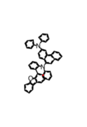 c1ccc(N(c2ccccc2)c2ccc3c(N(c4ccccc4)c4ccccc4-c4cccc5c4oc4ccccc45)cc4ccccc4c3c2)cc1